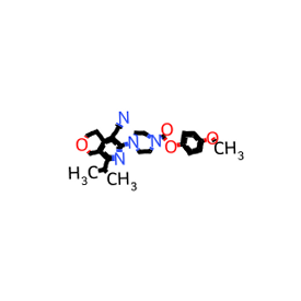 COc1ccc(OC(=O)N2CCN(c3nc(C(C)C)c4c(c3C#N)CCOC4)CC2)cc1